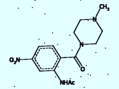 CC(=O)Nc1cc([N+](=O)[O-])ccc1C(=O)N1CCN(C)CC1